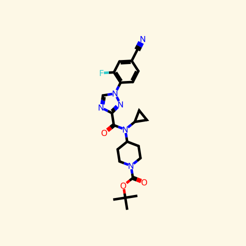 CC(C)(C)OC(=O)N1CCC(N(C(=O)c2ncn(-c3ccc(C#N)cc3F)n2)C2CC2)CC1